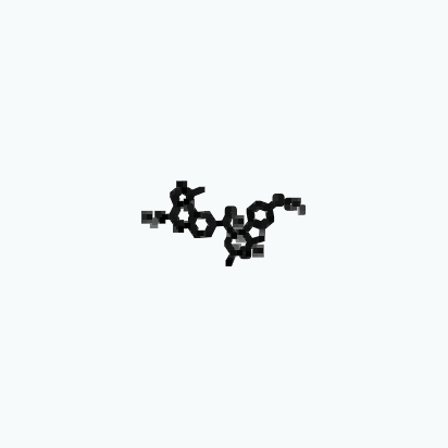 Cc1ncc2c(N)nc3ccc(C(=O)N4C[C@H](C)O[C@@H]5Cc6cc(OC(F)(F)F)ccc6[C@@H]54)cc3n12